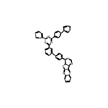 c1ccc(-c2ccc(-c3nc(-c4ccccc4)nc(-c4cccc(-c5ccc(-c6ncnc7c6sc6nc8ccccc8cc67)cc5)c4)n3)cc2)cc1